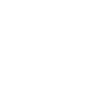 CCc1ccc(C(=O)OO[CH]CC(C)OC)cc1